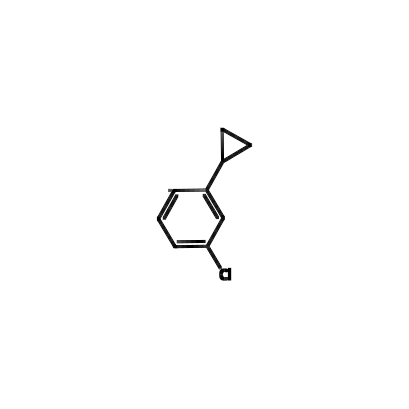 Clc1cc[c]c(C2CC2)c1